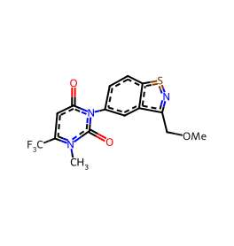 COCc1nsc2ccc(-n3c(=O)cc(C(F)(F)F)n(C)c3=O)cc12